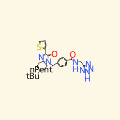 CCCCC[C@H](c1ccc(C(=O)NCc2nn[nH]n2)cc1)N1C(=O)C(c2cccs2)=NC12CCC(C(C)(C)C)CC2